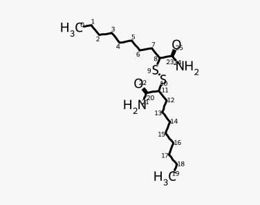 CCCCCCCCC(SSC(CCCCCCCC)C(N)=O)C(N)=O